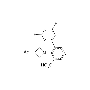 CC(=O)C1CN(c2c(C(=O)O)cncc2-c2cc(F)cc(F)c2)C1